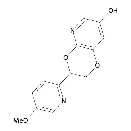 COc1ccc(C2COc3cc(O)cnc3O2)nc1